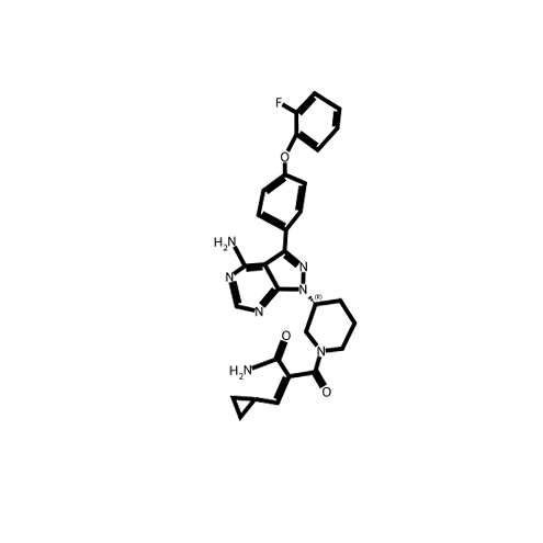 NC(=O)C(=CC1CC1)C(=O)N1CCC[C@@H](n2nc(-c3ccc(Oc4ccccc4F)cc3)c3c(N)ncnc32)C1